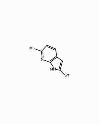 CC(C)c1ccc2cc(C(C)C)[nH]c2n1